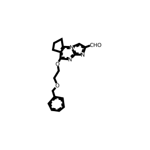 O=Cc1cn2c3c(c(OCCOCc4ccccc4)nc2n1)CCC3